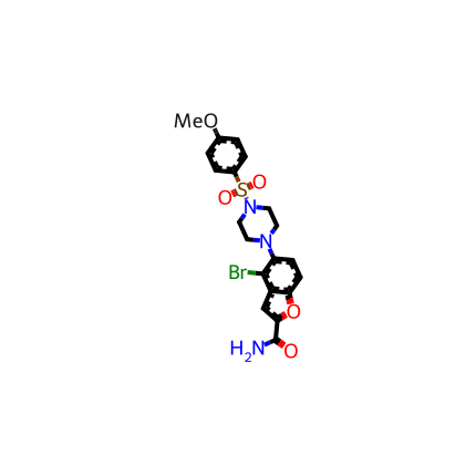 COc1ccc(S(=O)(=O)N2CCN(c3ccc4oc(C(N)=O)cc4c3Br)CC2)cc1